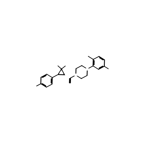 Cc1ccc(C(F)(F)F)cc1N1CCN(C(=O)[C@@H]2C(c3ccc(C(F)(F)F)cc3)C2(F)F)CC1